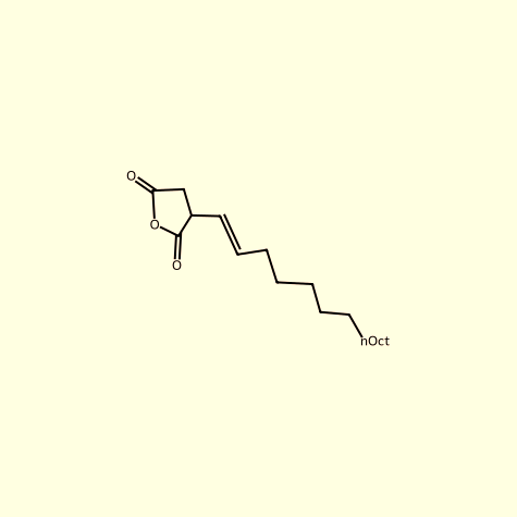 CCCCCCCCCCCCC/C=C/C1CC(=O)OC1=O